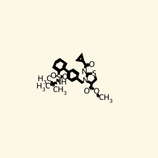 CCOC(=O)C1CSC(=NC(=O)C2CC2)N1Cc1ccc(-c2ccccc2S(=O)(=O)NC(C)(C)C)cc1